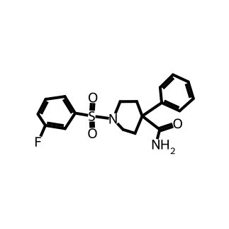 NC(=O)C1(c2ccccc2)CCN(S(=O)(=O)c2cccc(F)c2)CC1